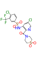 O=C(c1ncc(Cl)cc1NS(=O)(=O)c1ccc(Cl)c(C(F)(F)F)c1)N1CCS(=O)(=O)CC1